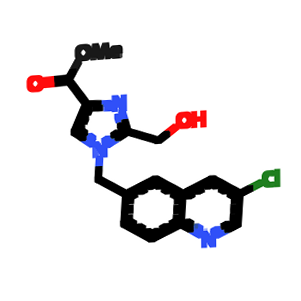 COC(=O)c1cn(Cc2ccc3ncc(Cl)cc3c2)c(CO)n1